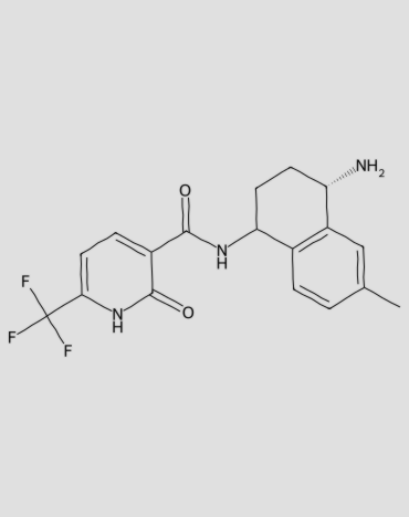 Cc1ccc2c(c1)[C@@H](N)CCC2NC(=O)c1ccc(C(F)(F)F)[nH]c1=O